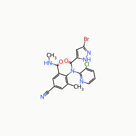 CNC(=O)c1cc(C#N)cc(C)c1N(C(=O)c1cc(Br)n[nH]1)c1ncccc1Cl